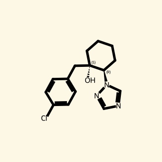 O[C@]1(Cc2ccc(Cl)cc2)CCCC[C@H]1n1cncn1